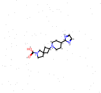 O=C(O)N1CCC2(CC(N3CCC(C4N=CC=N4)CC3)C2)C1